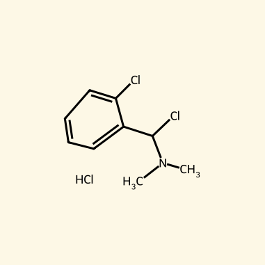 CN(C)C(Cl)c1ccccc1Cl.Cl